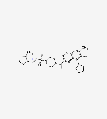 Cc1cc2cnc(NC3CCN(S(=O)(=O)/C=C/C4CCCN4C)CC3)nc2n(C2CCCC2)c1=O